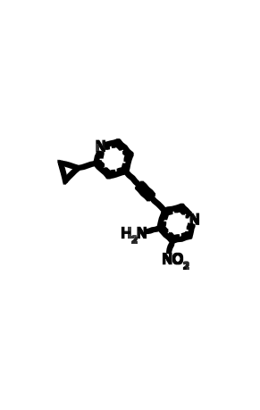 Nc1c(C#Cc2ccnc(C3CC3)c2)cncc1[N+](=O)[O-]